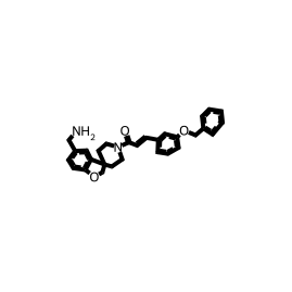 NCc1ccc2c(c1)C1(CCN(C(=O)C=Cc3cccc(OCc4ccccc4)c3)CC1)CO2